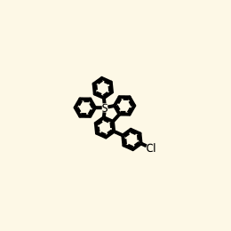 Clc1ccc(-c2cccc3c2-c2ccccc2S3(c2ccccc2)c2ccccc2)cc1